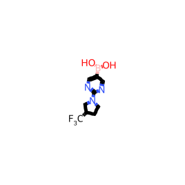 OB(O)c1cnc(N2CCC(C(F)(F)F)C2)nc1